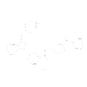 COc1ncc(-c2cc(CN3CCC(F)(F)CC3)c3c(N)ncnn23)cc1C(=O)N[C@@H]1CN(C(=O)c2ncccc2Cl)C[C@@H]1F